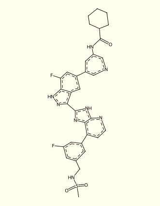 CS(=O)(=O)NCc1cc(F)cc(-c2ccnc3[nH]c(-c4n[nH]c5c(F)cc(-c6cncc(NC(=O)C7CCCCC7)c6)cc45)nc23)c1